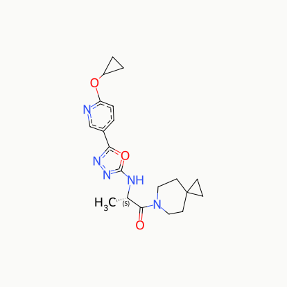 C[C@H](Nc1nnc(-c2ccc(OC3CC3)nc2)o1)C(=O)N1CCC2(CC1)CC2